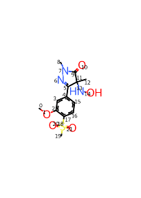 COc1cc(C2=NN(C)C(=O)C2(C)NO)ccc1S(C)(=O)=O